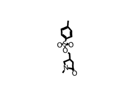 Cc1ccc(S(=O)(=O)OCC2CC(=O)N(C)C2)cc1